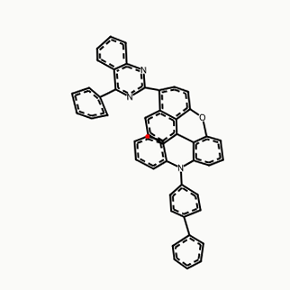 c1ccc(-c2ccc(N(c3ccccc3)c3cccc4c3-c3cccc5c(-c6nc(-c7ccccc7)c7ccccc7n6)ccc(c35)O4)cc2)cc1